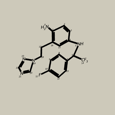 Nc1ccc(NC(c2ccc(F)cc2)C(F)(F)F)cc1CCn1cncn1